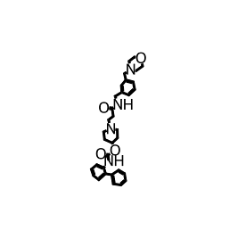 O=C(CCN1CCC(OC(=O)Nc2ccccc2-c2ccccc2)CC1)NCc1cccc(CN2CCOCC2)c1